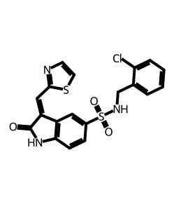 O=C1Nc2ccc(S(=O)(=O)NCc3ccccc3Cl)cc2/C1=C\c1nccs1